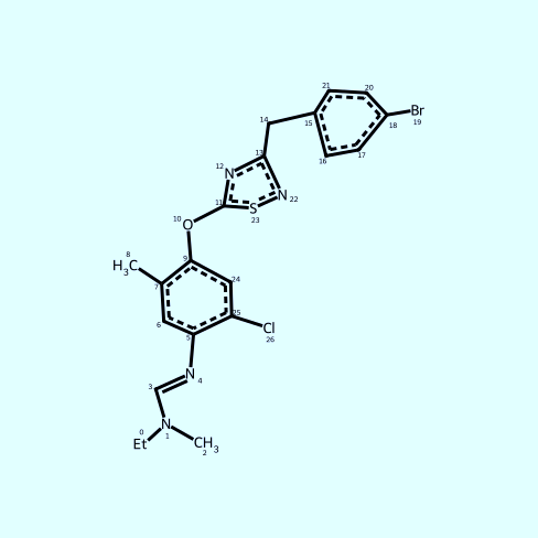 CCN(C)C=Nc1cc(C)c(Oc2nc(Cc3ccc(Br)cc3)ns2)cc1Cl